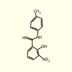 Cc1ccc(NC(=N)c2cccc([N+](=O)[O-])c2O)cc1